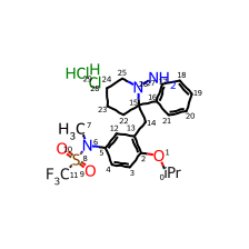 CC(C)Oc1ccc(N(C)S(=O)(=O)C(F)(F)F)cc1CC1(c2ccccc2)CCCCN1N.Cl.Cl